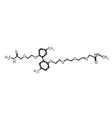 CNC(=O)COCCOCCOCCOc1ccc(C)cc1-c1cc(C)ccc1OCCOCC(=O)NC